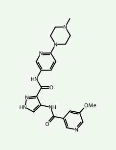 COc1cncc(C(=O)Nc2c[nH]nc2C(=O)Nc2ccc(N3CCN(C)CC3)nc2)c1